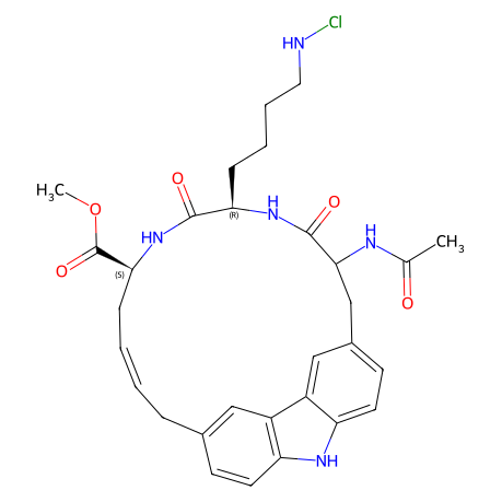 COC(=O)[C@@H]1CC=CCc2ccc3[nH]c4ccc(cc4c3c2)CC(NC(C)=O)C(=O)N[C@H](CCCCNCl)C(=O)N1